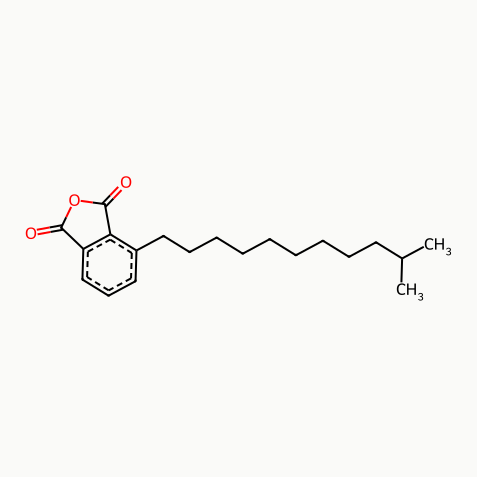 CC(C)CCCCCCCCCc1cccc2c1C(=O)OC2=O